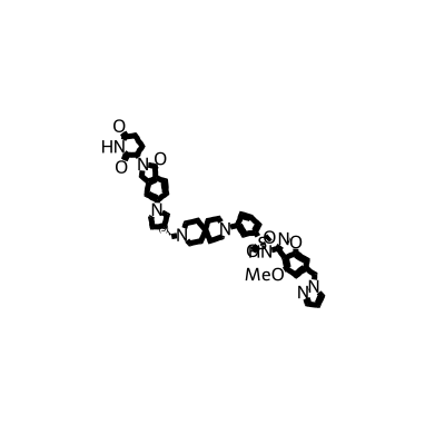 COc1cc(Cn2cccn2)cc2onc(NS(=O)(=O)c3cccc(N4CCC5(CCN(C[C@@H]6CCN(c7ccc8c(c7)CN(C7CCC(=O)NC7=O)C8=O)C6)CC5)CC4)c3)c12